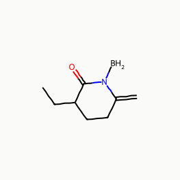 BN1C(=C)CCC(CC)C1=O